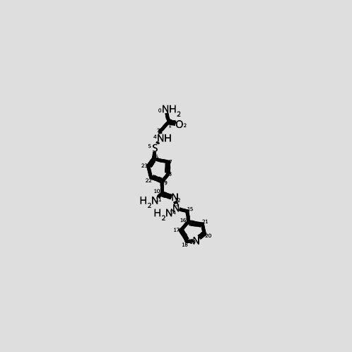 NC(=O)CNSc1ccc(/C(N)=N/N(N)Cc2ccncc2)cc1